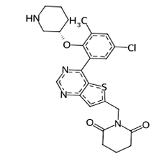 Cc1cc(Cl)cc(-c2ncnc3cc(CN4C(=O)CCCC4=O)sc23)c1O[C@H]1CCCNC1